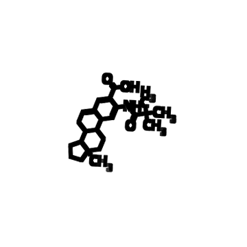 CC(C)(C)C(=O)NC1=CC2C(=CCC3C2CC[C@]2(C)CCCC32)C=C1C(=O)O